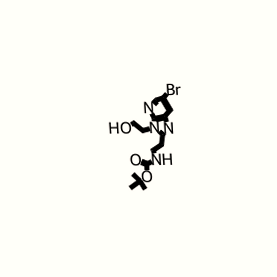 CC(C)(C)OC(=O)NCCc1nc2cc(Br)cnc2n1CCO